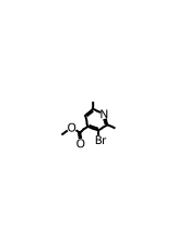 COC(=O)c1cc(C)nc(C)c1Br